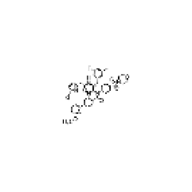 COc1cccc(-c2ccc3c(=O)n(-c4ccc(S(=O)(=O)N5CCOCC5)cc4)c([C@H](Cc4cc(F)cc(F)c4)NC(=O)Cn4ccc(C5CC5)n4)nc3c2)n1